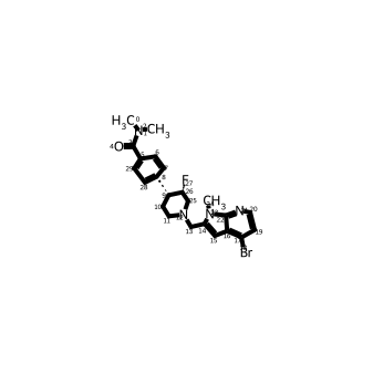 CN(C)C(=O)c1ccc([C@H]2CCN(Cc3cc4c(Br)ccnc4n3C)C[C@H]2F)cc1